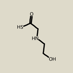 O=C(S)CNCCO